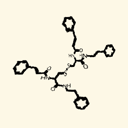 O=C(/C=C/c1ccccc1)NC(CSSCC(NC(=O)/C=C/c1ccccc1)C(=O)NCCc1ccccc1)C(=O)NCCc1ccccc1